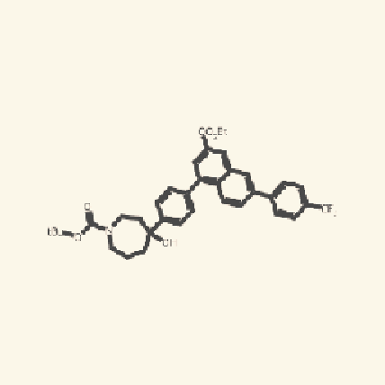 CCOC(=O)c1cc(-c2ccc(C3(O)CCCN(C(=O)OC(C)(C)C)CC3)cc2)c2ccc(-c3ccc(C(F)(F)F)cc3)cc2c1